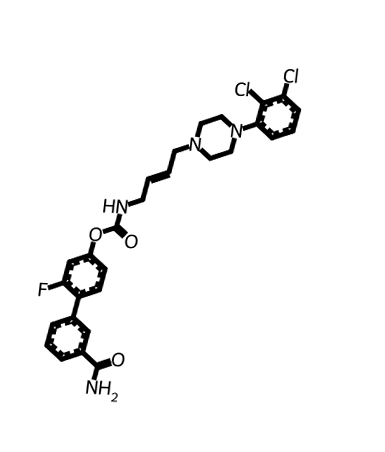 NC(=O)c1cccc(-c2ccc(OC(=O)NCC=CCN3CCN(c4cccc(Cl)c4Cl)CC3)cc2F)c1